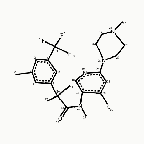 Cc1cc(C(F)(F)F)cc(C(C)(C)C(=O)N(C)c2cnc(N3CCN(C)CC3)cc2Cl)c1